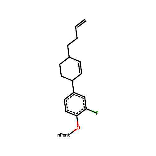 C=CCCC1C=CC(c2ccc(OCCCCC)c(F)c2)CC1